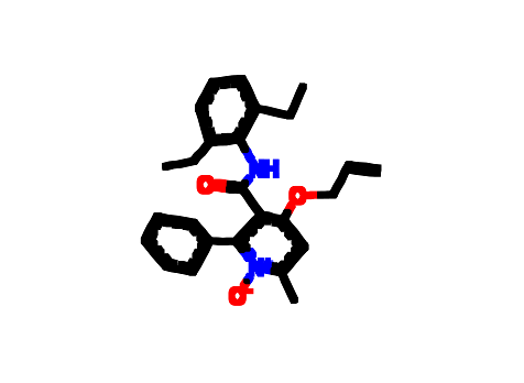 C=CCOc1cc(C)[n+]([O-])c(-c2ccccc2)c1C(=O)Nc1c(CC)cccc1CC